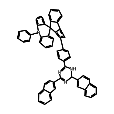 c1ccc(N2c3ccccc3C3(c4ccccc4-c4ccc(-c5ccc(C6=NC(c7ccc8ccccc8c7)=NC(c7ccc8ccccc8c7)N6)cc5)cc43)c3ccccc32)cc1